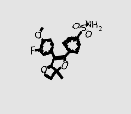 CCC1(C)OC(c2ccc(S(N)(=O)=O)cc2)=C(c2ccc(OC)c(F)c2)C1=O